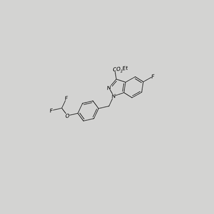 CCOC(=O)c1nn(Cc2ccc(OC(F)F)cc2)c2ccc(F)cc12